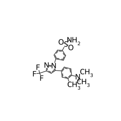 Cc1cc(-c2cc(C(F)(F)F)nn2-c2ccc(S(N)(=O)=O)cc2)ccc1N(C)C